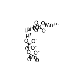 O=P([O-])([O-])[O-].[Li+].[Li+].[Li+].[Li+].[Li+].[Mn+2].[O]=[Mn](=[O])([O-])[O-].[O]=[Mn](=[O])([O-])[O-]